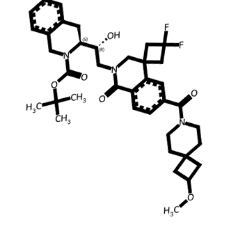 COC1CC2(CCN(C(=O)c3ccc4c(c3)C3(CN(C[C@@H](O)[C@@H]5Cc6ccccc6CN5C(=O)OC(C)(C)C)C4=O)CC(F)(F)C3)CC2)C1